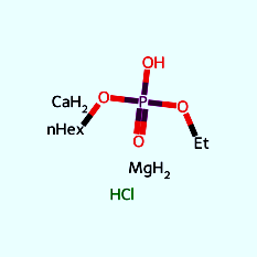 CCCCCCOP(=O)(O)OCC.Cl.[CaH2].[MgH2]